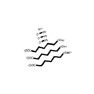 CCCCCCCCCCCCCCCC(=O)[O-].CCCCCCCCCCCCCCCC(=O)[O-].CCCCCCCCCCCCCCCC(=O)[O-].CCC[O-].CCC[O-].CCC[O-].[Al+3].[Al+3]